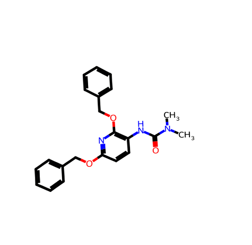 CN(C)C(=O)Nc1ccc(OCc2ccccc2)nc1OCc1ccccc1